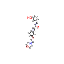 O=C(/C=C/c1cccc(O)c1)/C=C/c1cccc(OCCN2CCOCC2)c1